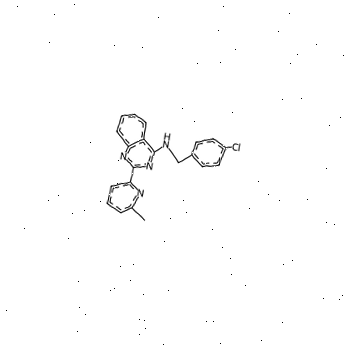 Cc1cccc(-c2nc(NCc3ccc(Cl)cc3)c3ccccc3n2)n1